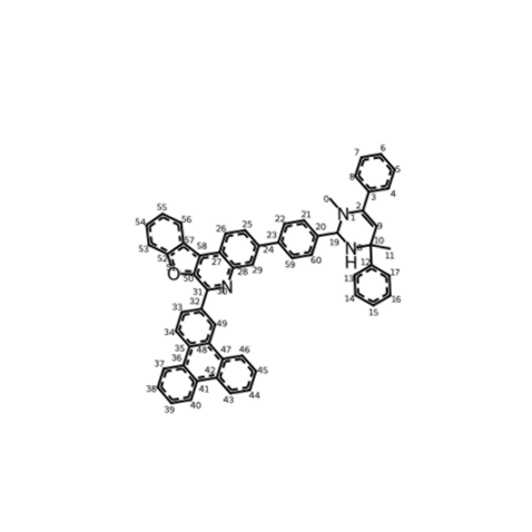 CN1C(c2ccccc2)=CC(C)(c2ccccc2)NC1c1ccc(-c2ccc3c(c2)nc(-c2ccc4c5ccccc5c5ccccc5c4c2)c2oc4ccccc4c23)cc1